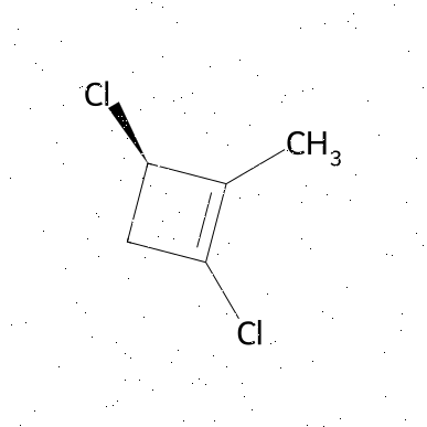 CC1=C(Cl)C[C@H]1Cl